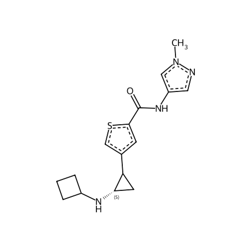 Cn1cc(NC(=O)c2cc(C3C[C@@H]3NC3CCC3)cs2)cn1